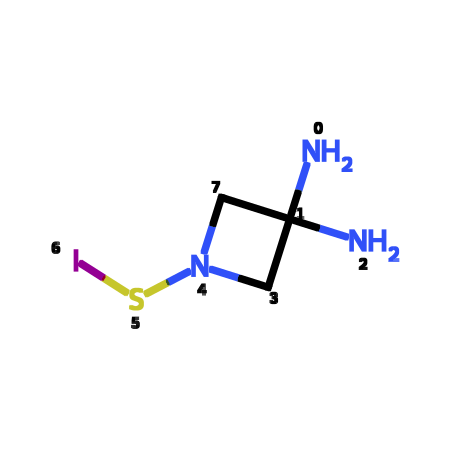 NC1(N)CN(SI)C1